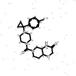 O=C1COC2CCN(C(=O)N3CCN(C4(c5ccc(F)cc5)CC4)CC3)CC2N1